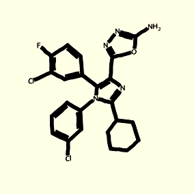 Nc1nnc(-c2nc(C3CCCCC3)n(-c3[c]ccc(Cl)c3)c2-c2ccc(F)c(Cl)c2)o1